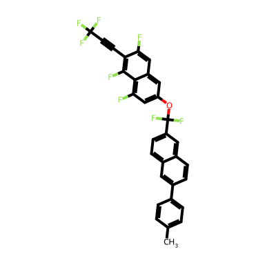 Cc1ccc(-c2ccc3cc(C(F)(F)Oc4cc(F)c5c(F)c(C#CC(F)(F)F)c(F)cc5c4)ccc3c2)cc1